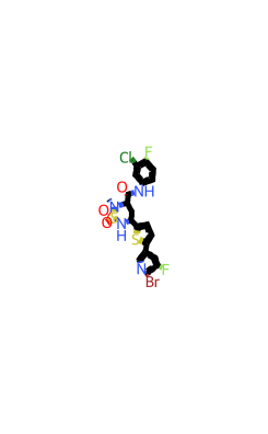 CN1C(C(=O)Nc2ccc(F)c(Cl)c2)CC(c2ccc(-c3cnc(Br)c(F)c3)s2)NS1(=O)=O